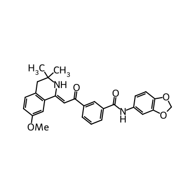 COc1ccc2c(c1)/C(=C/C(=O)c1cccc(C(=O)Nc3ccc4c(c3)OCO4)c1)NC(C)(C)C2